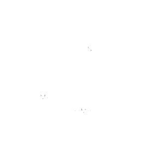 COc1cc2ccnc(-c3ccccc3F)c2cc1OC